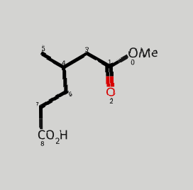 COC(=O)CC(C)CCC(=O)O